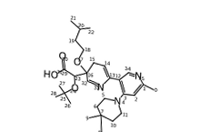 Cc1cc(N2CCC(C)(C)CC2)c(C2=CCC(OCCC(C)C)(C(OC(C)(C)C)C(=O)O)C=N2)cn1